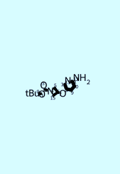 CC(C)(C)OC(=O)N1CC(Oc2ccc(N)nc2)C1